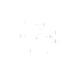 CC(C)C.CC(C)C.O=C(O)C(=O)O.O=C(O)C(=O)O